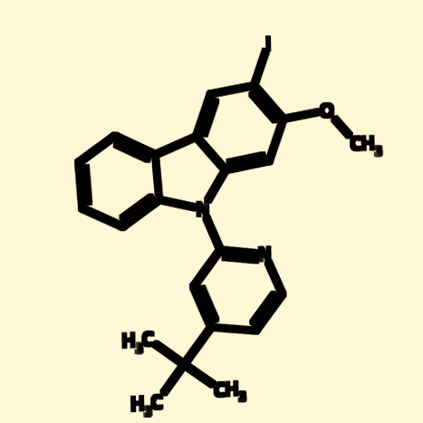 COc1cc2c(cc1I)c1ccccc1n2-c1cc(C(C)(C)C)ccn1